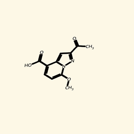 COc1ccc(C(=O)O)c2cc(C(C)=O)nn12